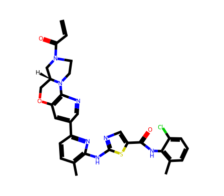 C=CC(=O)N1CCN2c3ncc(-c4ccc(C)c(Nc5ncc(C(=O)Nc6c(C)cccc6Cl)s5)n4)cc3OC[C@@H]2C1